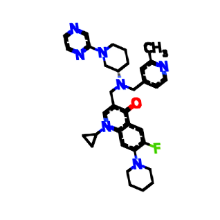 Cc1cc(CN(Cc2cn(C3CC3)c3cc(N4CCCCC4)c(F)cc3c2=O)[C@H]2CCCN(c3cnccn3)C2)ccn1